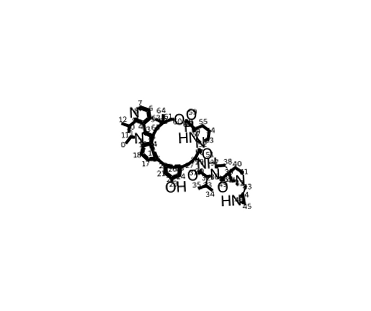 CCn1c(-c2cccnc2C(C)C)c2c3cc(ccc31)-c1cc(O)cc(c1)C[C@H](NC(=O)[C@H](C(C)C)N1CC[C@@]3(CCN(C[C@H]4CN4)C3)C1=O)C(=O)N1CCC[C@H](N1)C(=O)OCC(C)(C)C2